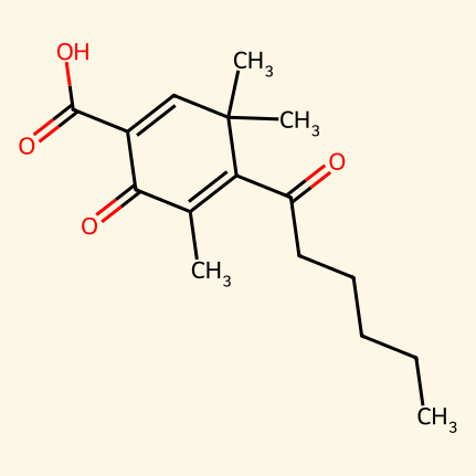 CCCCCC(=O)C1=C(C)C(=O)C(C(=O)O)=CC1(C)C